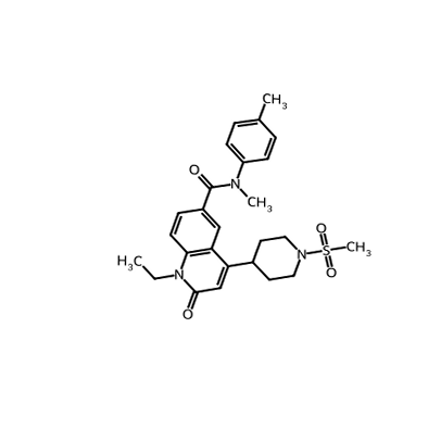 CCn1c(=O)cc(C2CCN(S(C)(=O)=O)CC2)c2cc(C(=O)N(C)c3ccc(C)cc3)ccc21